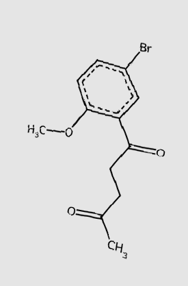 COc1ccc(Br)cc1C(=O)CCC(C)=O